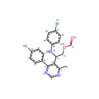 Cc1ncnc(-c2ccc(F)cc2)c1C(COC=O)Nc1ccc(Br)cc1